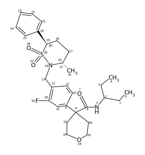 CCC(CC)NC(=O)C1(c2ccc(CN3[C@@H](C)CC[C@H](c4ccccc4)S3(=O)=O)c(F)c2)CCOCC1